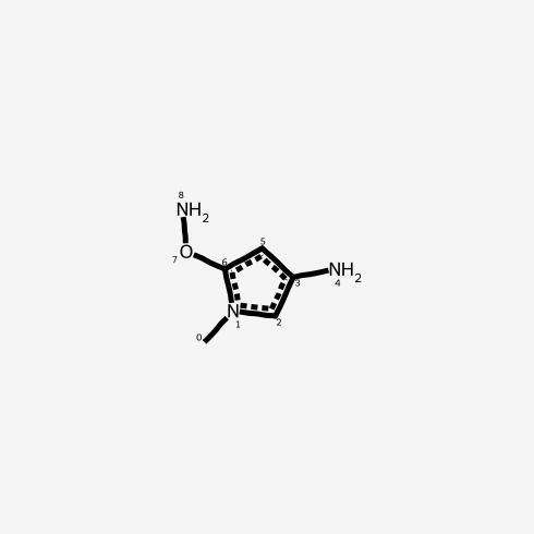 Cn1cc(N)cc1ON